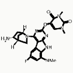 CNc1cc(F)cc2c1[nH]c1nc(Oc3cn(C)c(=O)n(C)c3=O)nc(N3C[C@H]4C[C@@H]3C[C@H]4N)c12